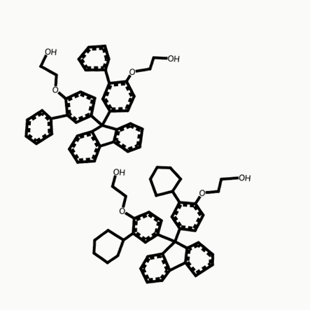 OCCOc1ccc(C2(c3ccc(OCCO)c(-c4ccccc4)c3)c3ccccc3-c3ccccc32)cc1-c1ccccc1.OCCOc1ccc(C2(c3ccc(OCCO)c(C4CCCCC4)c3)c3ccccc3-c3ccccc32)cc1C1CCCCC1